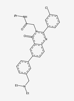 CCN(CC)Cc1cccc(-c2ccc3nc(-c4cccc(Cl)c4)n(CC(=O)NC(C)C)c(=O)c3c2)c1